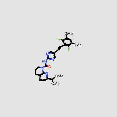 COc1cc(OC)c(F)c(C#Cc2cnc(NC(=O)N3CCCc4ccc(C(OC)OC)nc43)nc2)c1F